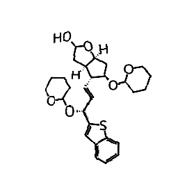 OC1C[C@@H]2[C@@H](/C=C/[C@@H](OC3CCCCO3)c3cc4ccccc4s3)[C@H](OC3CCCCO3)C[C@@H]2O1